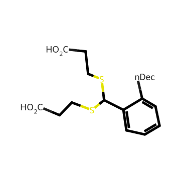 CCCCCCCCCCc1ccccc1C(SCCC(=O)O)SCCC(=O)O